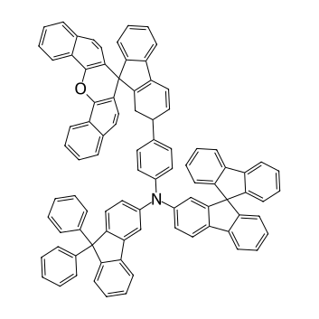 C1=CC(c2ccc(N(c3ccc4c(c3)-c3ccccc3C4(c3ccccc3)c3ccccc3)c3ccc4c(c3)C3(c5ccccc5-c5ccccc53)c3ccccc3-4)cc2)CC2=C1c1ccccc1C21c2ccc3ccccc3c2Oc2c1ccc1ccccc21